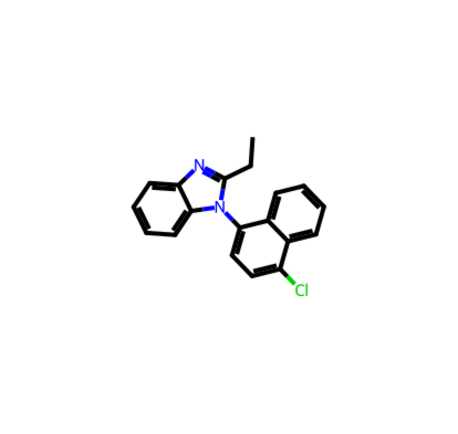 CCc1nc2ccccc2n1-c1ccc(Cl)c2ccccc12